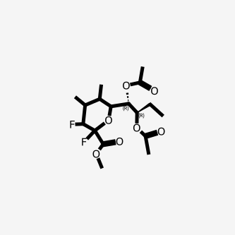 CC[C@@H](OC(C)=O)[C@@H](OC(C)=O)C1OC(F)(C(=O)OC)C(F)C(C)C1C